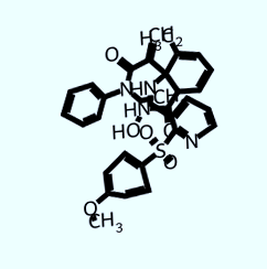 C=C(C(=O)N(CC)c1ccccc1)C1(NCc2cccnc2S(=O)(=O)c2ccc(OC)cc2)C(C)=CC=CC1C(=O)NO